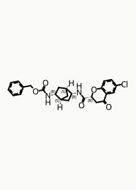 O=C(N[C@@H]1C[C@@H]2C[C@H]1C[C@H]2NC(=O)[C@H]1CC(=O)c2cc(Cl)ccc2O1)OCc1ccccc1